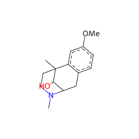 COc1ccc2c(c1)C1(C)CCN(C)C(C2)C1O